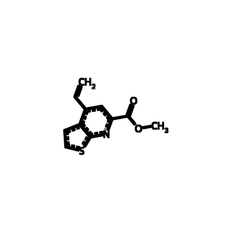 C=Cc1cc(C(=O)OC)nc2sccc12